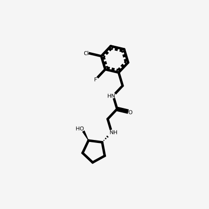 O=C(CN[C@@H]1CCC[C@H]1O)NCc1cccc(Cl)c1F